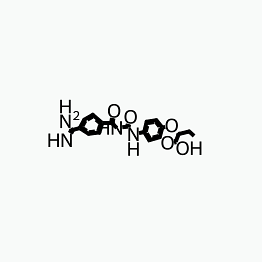 CCC(Oc1ccc(NC(=O)NC(=O)c2ccc(C(=N)N)cc2)cc1)C(=O)O